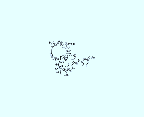 COc1cccc(-c2cc(O[C@@H]3C[C@H]4C(=O)N[C@]5(C(=O)NS(=O)(=O)C6(C)CC6)C[C@H]5/C=C\CC[C@@H](C)C[C@@H](C)[C@H](NC(=O)O)C(=O)N4C3)cc(-c3ccc(OC(C)C)cc3)n2)n1